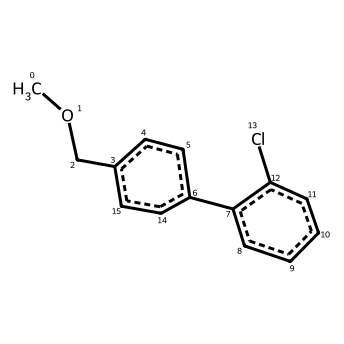 COCc1ccc(-c2ccccc2Cl)cc1